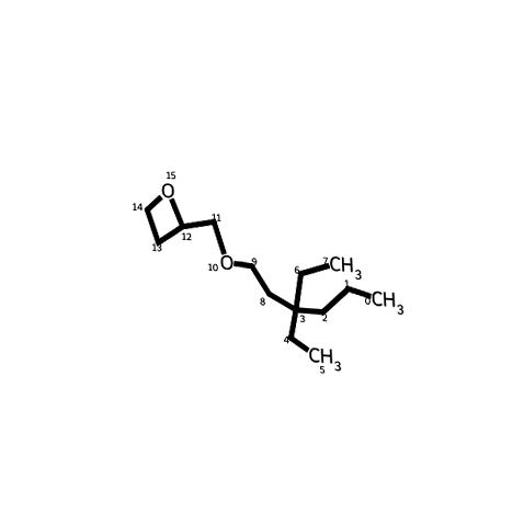 CCCC(CC)(CC)CCOCC1CCO1